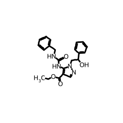 CCOC(=O)c1cnn(CC(O)c2ccccc2)c1NC(=O)NCc1ccccc1